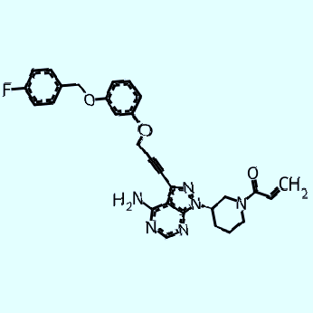 C=CC(=O)N1CCC[C@@H](n2nc(C#CCOc3cccc(OCc4ccc(F)cc4)c3)c3c(N)ncnc32)C1